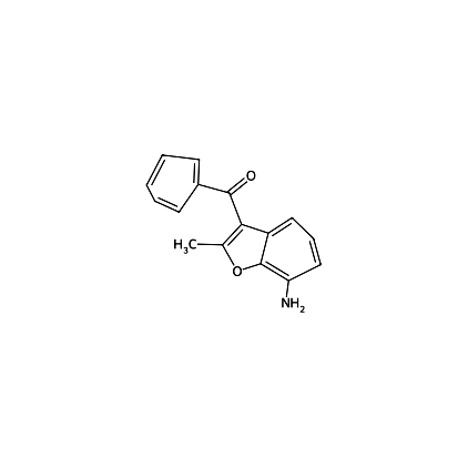 Cc1oc2c(N)cccc2c1C(=O)c1ccccc1